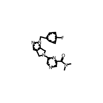 CN(C)C(=O)c1cncc(N2Cc3cnn(Cc4ccc(F)cc4)c3C2)n1